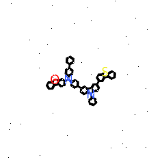 c1ccc(-c2ccc(N(c3ccc(-c4ccc5c(c4)c4cc(-c6ccc7sc8ccccc8c7c6)ccc4n5-c4ccccc4)cc3)c3ccc4c(c3)oc3ccccc34)cc2)cc1